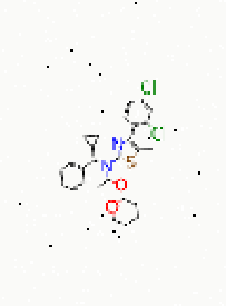 Cc1sc(N(C(C)OC2CCCCO2)C(c2ccccc2)C2CC2)nc1-c1ccc(Cl)cc1Cl